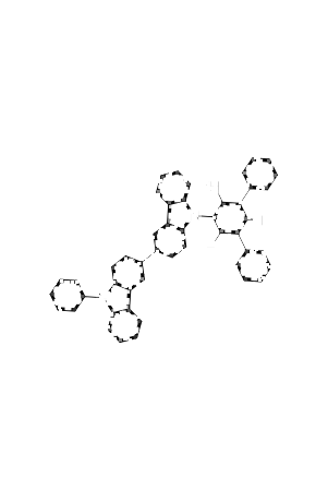 [2H]c1c(-c2ccccc2)c([2H])c(-n2c3ccccc3c3cc(-c4ccc5c(c4)c4ccccc4n5-c4ccccc4)ccc32)c([2H])c1-c1ccccc1